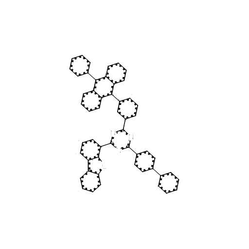 c1ccc(-c2ccc(-c3nc(-c4cccc(-c5c6ccccc6c(-c6ccccc6)c6ccccc56)c4)nc(-c4cccc5c4oc4ccccc45)n3)cc2)cc1